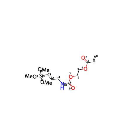 C=CC(=O)OCCOC(=O)NCCC[Si](OC)(OC)OC